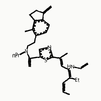 C=CNC(/C=C(\C)c1ncc(C(=C)N(CCC)CCc2ccc3c(c2C)CCC3=C)s1)=C(/C=C\C)CC